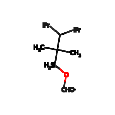 CC(C)C(C(C)C)C(C)(C)[SiH2]O[C]=O